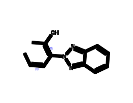 C/C=C\C(=C(/C)O)n1nc2ccccc2n1